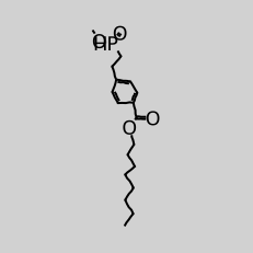 CCCCCCCCOC(=O)c1ccc(CC[PH](=O)OC)cc1